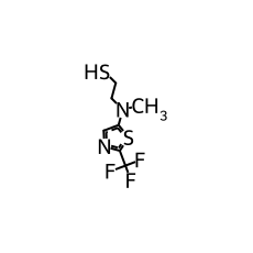 CN(CCS)c1cnc(C(F)(F)F)s1